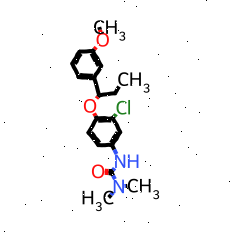 CCC(Oc1ccc(NC(=O)N(C)C)cc1Cl)c1cccc(OC)c1